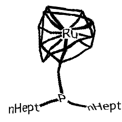 CCCCCCCP(CCCCCCC)[C]12[CH]3[CH]4[CH]5[CH]1[Ru]45321678[CH]2[CH]1[CH]6[CH]7[CH]28